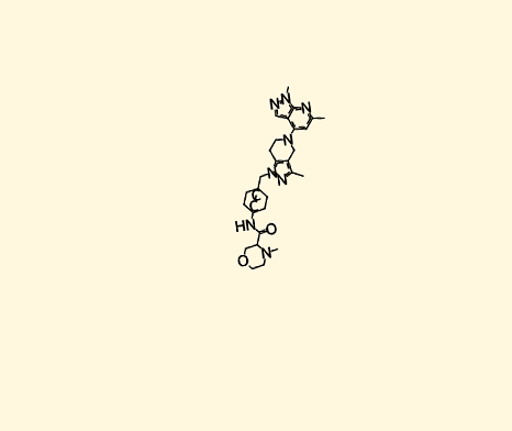 Cc1cc(N2CCc3c(c(C)nn3CC34CCC(NC(=O)C5COCCN5C)(CC3)CC4)C2)c2cnn(C)c2n1